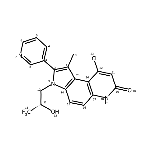 Cc1c(-c2cccnc2)n(C[C@H](O)C(F)(F)F)c2ccc3[nH]c(=O)cc(Cl)c3c12